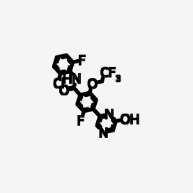 O=C(Nc1c(F)cccc1Cl)c1cc(F)c(-c2cncc(O)n2)cc1OCC(F)(F)F